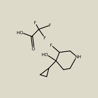 O=C(O)C(F)(F)F.OC1(C2CC2)CCNCC1F